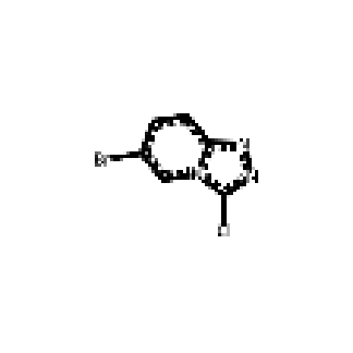 Clc1nnc2ccc(Br)cn12